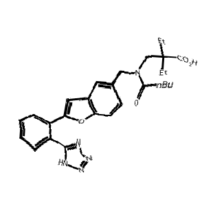 CCCCC(=O)N(Cc1ccc2oc(-c3ccccc3-c3nnn[nH]3)cc2c1)CC(CC)(CC)C(=O)O